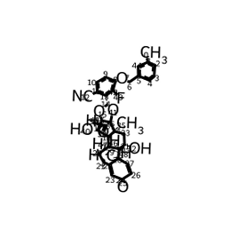 Cc1cccc(COc2ccc(C#N)c([C@H]3O[C@@H]4C[C@H]5[C@@H]6CCC7=CC(=O)C=C[C@]7(C)[C@H]6[C@@H](O)C[C@]5(C)[C@]4(C(=O)CO)O3)c2F)c1